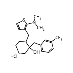 CN(C)c1sccc1CC1CCCCC1(O)Cc1cccc(C(F)(F)F)c1.Cl